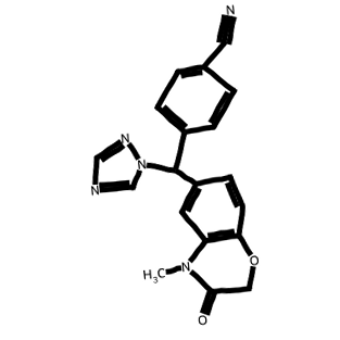 CN1C(=O)COc2ccc(C(c3ccc(C#N)cc3)n3cncn3)cc21